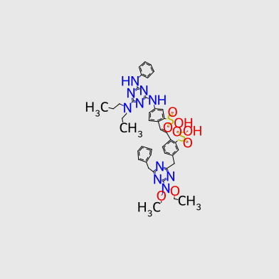 CCCN(CCC)c1nc(Nc2ccccc2)nc(Nc2ccc(/C=C/c3ccc(Cc4nc(Cc5ccccc5)nc(N(OCC)OCC)n4)cc3S(=O)(=O)O)c(S(=O)(=O)O)c2)n1